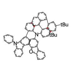 CC(C)(C)c1cc(-c2cccc3cccc(-c4ccccc4N(c4ccc5oc6ccccc6c5c4)c4ccccc4-c4ccc5c6ccccc6n(-c6ccccc6)c5c4)c23)cc(C(C)(C)C)c1